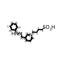 O=S(=O)(O)CCCC[n+]1cccc(C=NNc2ccccc2)c1